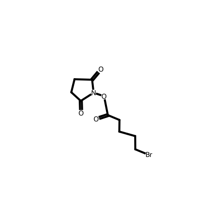 O=C(CCCCBr)ON1C(=O)CCC1=O